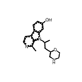 Cc1nccc2c3ccc(O)cc3n(C(C)CC3CNCCO3)c12